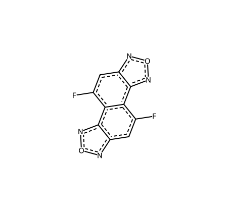 Fc1cc2nonc2c2c(F)cc3nonc3c12